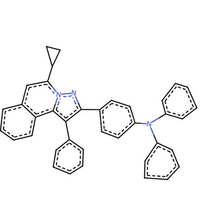 c1ccc(-c2c(-c3ccc(N(c4ccccc4)c4ccccc4)cc3)nn3c(C4CC4)cc4ccccc4c23)cc1